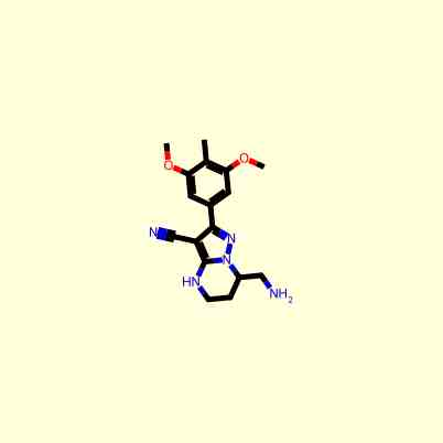 COc1cc(-c2nn3c(c2C#N)NCCC3CN)cc(OC)c1C